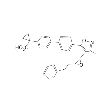 Cc1noc(-c2ccc(-c3ccc(C4(C(=O)O)CC4)cc3)cc2)c1C1OC1CCc1ccccc1